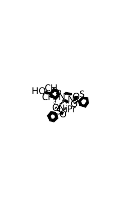 CC(C)N(C[C@H]1CN(S(=O)(=O)C2=CC=CCC2=S)CCN1c1ccc(C(C)(O)C(F)(F)F)cc1)S(=O)(=O)c1ccccc1